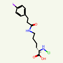 O=C(CCc1ccc(I)cc1)NCCCC[C@H](NCl)C(=O)O